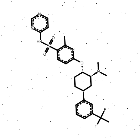 Cc1nc(O[C@H]2CC[C@H](c3cccc(C(C)(F)F)c3)C[C@@H]2N(C)C)ccc1S(=O)(=O)Nc1ccncn1